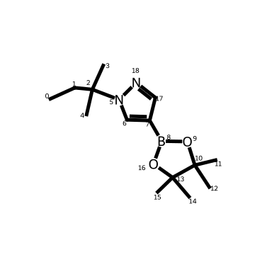 CCC(C)(C)n1cc(B2OC(C)(C)C(C)(C)O2)cn1